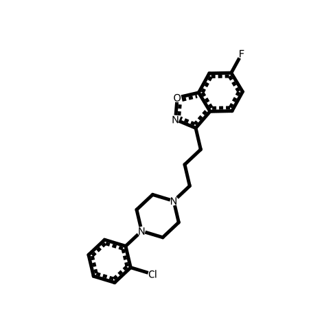 Fc1ccc2c(CCCN3CCN(c4ccccc4Cl)CC3)noc2c1